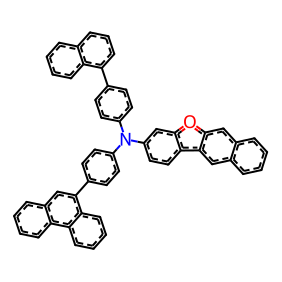 c1ccc2cc3c(cc2c1)oc1cc(N(c2ccc(-c4cccc5ccccc45)cc2)c2ccc(-c4cc5ccccc5c5ccccc45)cc2)ccc13